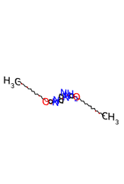 CCCCCCCCCCCCCCCCOc1ccc(/N=N/c2cccc3c(/N=N/c4ccc(OCCCCCCCCCCCCCCCC)cc4)c(N)ccc23)cc1